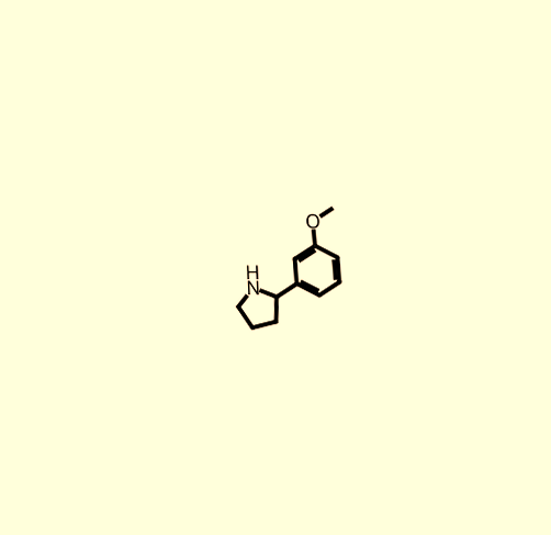 COc1cccc(C2CCCN2)c1